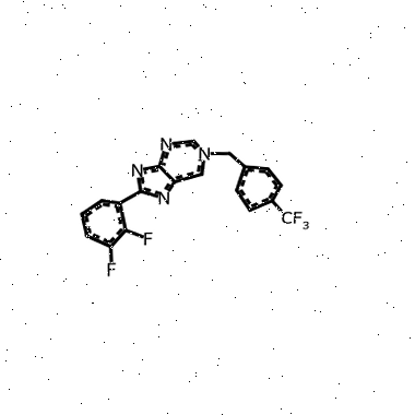 Fc1cccc(-c2nc3cn(Cc4ccc(C(F)(F)F)cc4)cnc-3n2)c1F